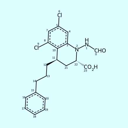 O=CNN1c2cc(Cl)cc(Cl)c2[C@H](CCCc2ccccc2)C[C@H]1C(=O)O